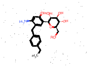 CCc1ccc(Cc2cc([C@@H]3O[C@H](CO)[C@@H](O)[C@H](O)[C@H]3O)c(O)cc2N)cc1